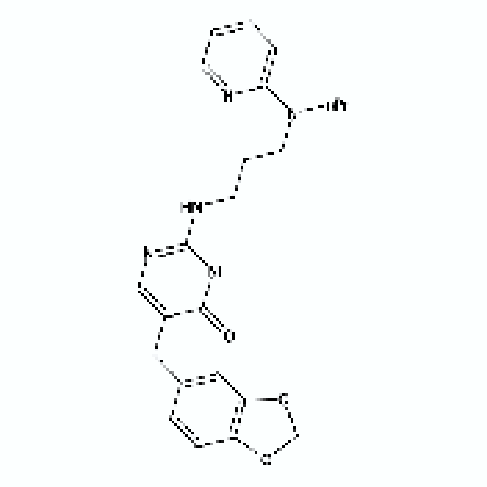 CCCN(CCCNc1ncc(Cc2ccc3c(c2)OCO3)c(=O)[nH]1)c1ccccn1